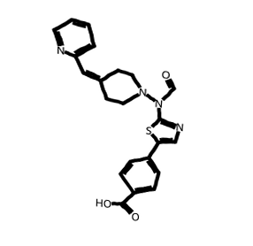 O=CN(c1ncc(-c2ccc(C(=O)O)cc2)s1)N1CCC(=Cc2ccccn2)CC1